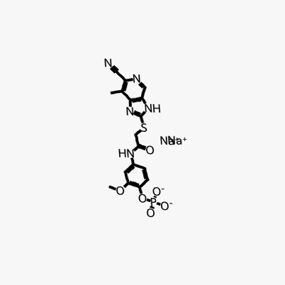 COc1cc(NC(=O)CSc2nc3c(C)c(C#N)ncc3[nH]2)ccc1OP(=O)([O-])[O-].[Na+].[Na+]